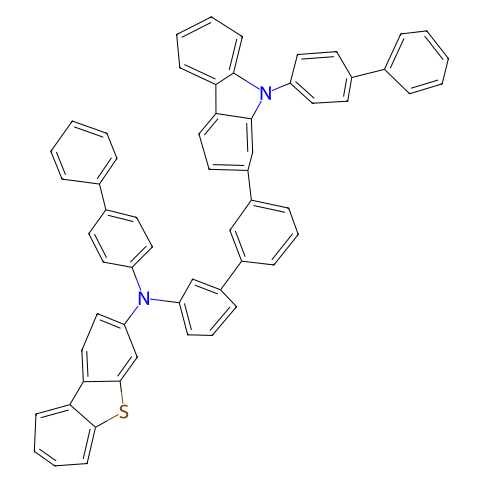 c1ccc(-c2ccc(N(c3cccc(-c4cccc(-c5ccc6c7ccccc7n(-c7ccc(-c8ccccc8)cc7)c6c5)c4)c3)c3ccc4c(c3)sc3ccccc34)cc2)cc1